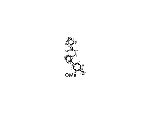 COc1cc(-c2nnc3n2CCN(C(=O)OC(C)(C)C)C3)ccc1Br